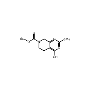 CSc1nc(O)c2c(n1)CN(C(=O)OC(C)(C)C)CC2